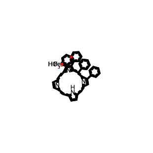 O=S(=O)(O)c1c(-c2ccccc2)c2c(-c3ccccc3)c3nc(cc4ccc(cc5nc(cc1n2-c1ccccc1)C=C5)[nH]4)C=C3c1ccccc1.[Fe]